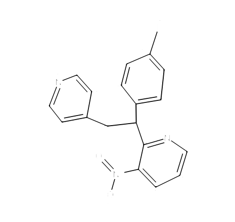 O=[N+]([O-])c1cccnc1C([CH]c1ccncc1)c1ccc(F)cc1